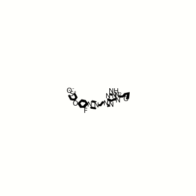 Nc1nc2c(ncn2CCN2CCN(c3ccc(O[C@H]4CC[S@@+]([O-])CC4)cc3F)CC2)c2nc(-c3ccco3)nn12